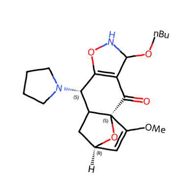 CCCCOC1NOC2=C1C(=O)[C@@]13O[C@@H](C=C1OC)CC3[C@@H]2N1CCCC1